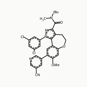 COc1cc2c(cc1-c1cncc(C#N)c1)-c1c(c(C(=O)N(C)C(C)(C)C)nn1-c1cc(Cl)cc(Cl)c1)CCO2